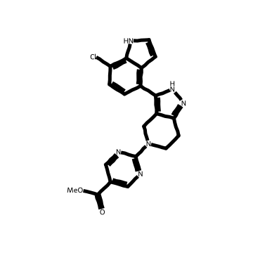 COC(=O)c1cnc(N2CCc3n[nH]c(-c4ccc(Cl)c5[nH]ccc45)c3C2)nc1